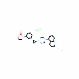 Cc1ccc2c(N3CCN([C@H]4C[C@@H]4c4cccc(N5CCOC5=O)c4)CC3)cccc2n1.Cl.Cl